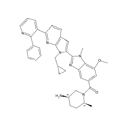 COc1cc(C(=O)N2C[C@H](N)CC[C@@H]2C)cc2nc(-c3cc4ccc(-c5cccnc5-c5ccccc5)nc4n3CC3CC3)n(C)c12